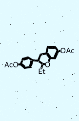 CCC1Oc2cc(OC(C)=O)ccc2CC1c1ccc(OC(C)=O)cc1